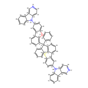 c1ccc([Si](c2ccccc2)(c2cccc3c2oc2ccc(-n4c5ccccc5c5cnccc54)cc23)c2cccc3c2sc2ccc(-n4c5ccccc5c5cnccc54)cc23)cc1